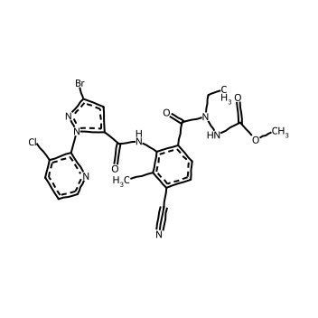 CCN(NC(=O)OC)C(=O)c1ccc(C#N)c(C)c1NC(=O)c1cc(Br)nn1-c1ncccc1Cl